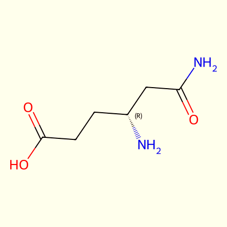 NC(=O)C[C@H](N)CCC(=O)O